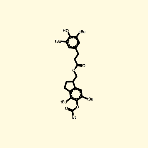 CCC(=O)Oc1c(C(C)(C)C)cc2c(c1C(C)(C)C)CCC2COC(=O)CCc1cc(C(C)(C)C)c(O)c(C(C)(C)C)c1